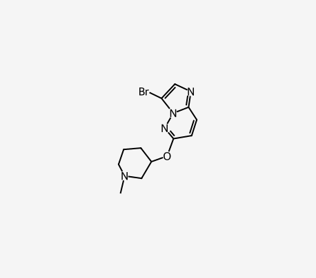 CN1CCCC(Oc2ccc3ncc(Br)n3n2)C1